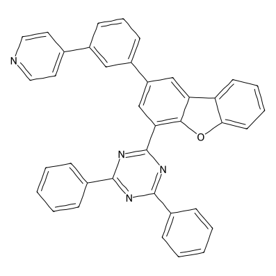 c1ccc(-c2nc(-c3ccccc3)nc(-c3cc(-c4cccc(-c5ccncc5)c4)cc4c3oc3ccccc34)n2)cc1